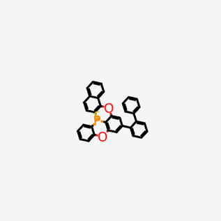 S=P12c3ccccc3Oc3cc(-c4ccccc4-c4ccccc4)cc(c31)Oc1c2ccc2ccccc12